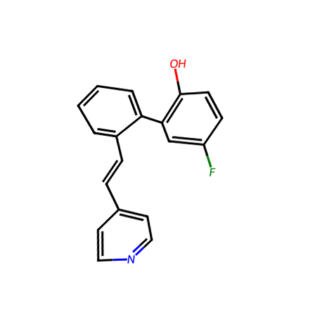 Oc1ccc(F)cc1-c1ccccc1/C=C/c1ccncc1